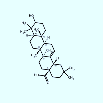 CC1(C)CC[C@]2(C(=O)O)CC[C@]3(C)C(=CC[C@@H]4[C@@]5(C)CCC(O)C(C)(C)[C@@H]5CC[C@]43C)[C@@H]2C1